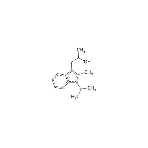 Cc1c(CC(C)O)c2ccccc2n1C(C)C